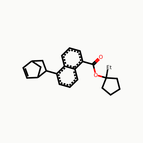 CCC1(OC(=O)c2cccc3c(C4CC5C=CC4C5)cccc23)CCCC1